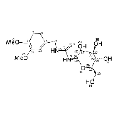 COc1ccc(CNC(=S)N[C@@H]2O[C@H](CO)[C@@H](O)[C@H](O)[C@H]2O)cc1OC